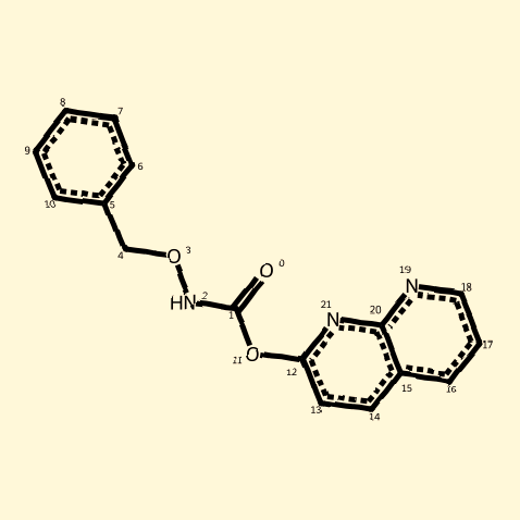 O=C(NOCc1ccccc1)Oc1ccc2cccnc2n1